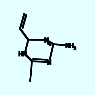 C=CC1N=C(N)N=C(C)N1